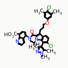 Cc1cc(OCCCc2c3n(c4c(-c5c(C)nn(C)c5C)c(Cl)ccc24)[C@@H](C)CN(c2ccc(C(=O)O)c4ncccc24)C3=O)cc(C)c1Cl